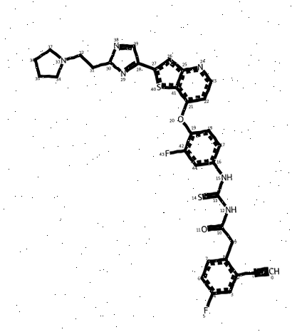 C#Cc1cc(F)ccc1CC(=O)NC(=S)Nc1ccc(Oc2ccnc3cc(C4=NC(CCN5CCCC5)N=C4)sc23)c(F)c1